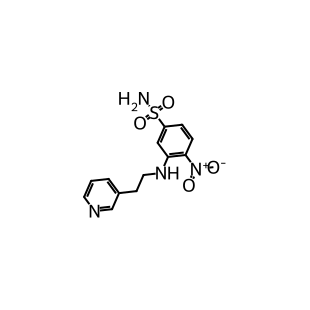 NS(=O)(=O)c1ccc([N+](=O)[O-])c(NCCc2cccnc2)c1